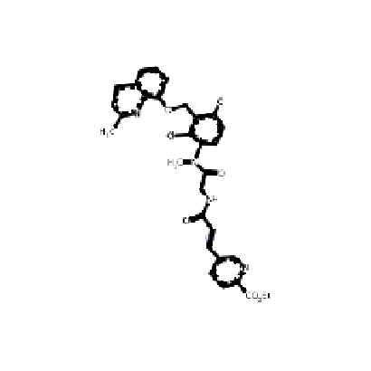 CCOC(=O)c1ccc(/C=C/C(=O)NCC(=O)N(C)c2ccc(Cl)c(COc3cccc4ccc(C)nc34)c2Cl)cn1